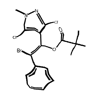 Cn1nc(Cl)c(C(OC(=O)C(C)(C)C)=C(Br)c2ccccc2)c1Cl